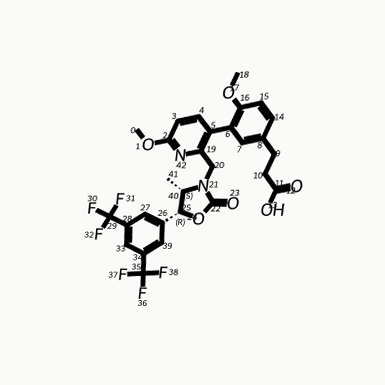 COc1ccc(-c2cc(CCC(=O)O)ccc2OC)c(CN2C(=O)O[C@H](c3cc(C(F)(F)F)cc(C(F)(F)F)c3)[C@@H]2C)n1